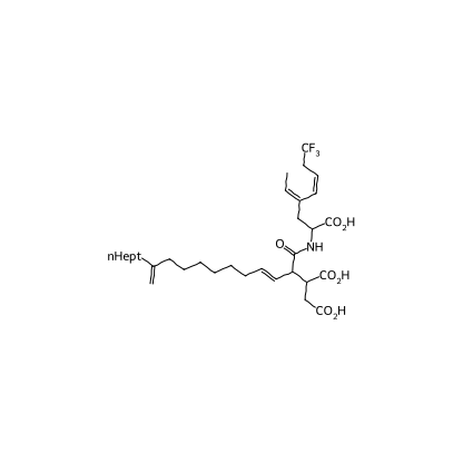 C=C(CCCCCCC)CCCCCC/C=C/C(C(=O)NC(CC(/C=C\CC(F)(F)F)=C/C)C(=O)O)C(CC(=O)O)C(=O)O